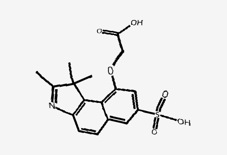 CC1=Nc2ccc3cc(S(=O)(=O)O)cc(OCC(=O)O)c3c2C1(C)C